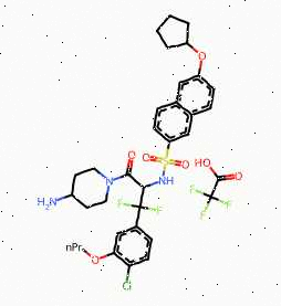 CCCOc1cc(C(F)(F)C(NS(=O)(=O)c2ccc3cc(OC4CCCC4)ccc3c2)C(=O)N2CCC(N)CC2)ccc1Cl.O=C(O)C(F)(F)F